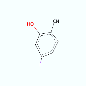 N#Cc1ccc(I)cc1O